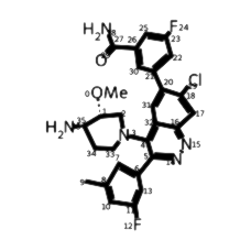 CO[C@@H]1CN(c2c(-c3cc(C)cc(F)c3)nnc3cc(Cl)c(-c4cc(F)cc(C(N)=O)c4)cc23)CC[C@H]1N